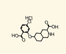 Cl.O=C(O)c1ccc(Cl)cc1OC1CCC2CNC(C(=O)O)CC2C1